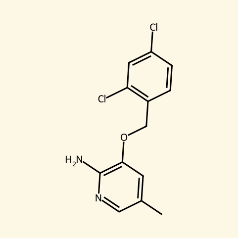 Cc1cnc(N)c(OCc2ccc(Cl)cc2Cl)c1